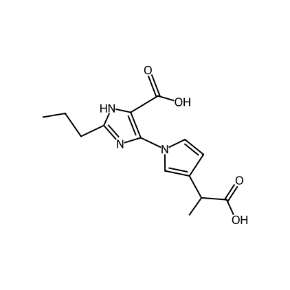 CCCc1nc(-n2ccc(C(C)C(=O)O)c2)c(C(=O)O)[nH]1